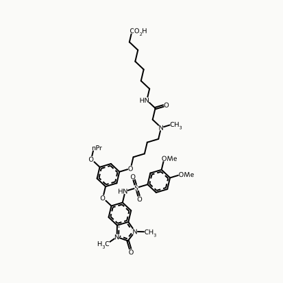 CCCOc1cc(OCCCCN(C)CC(=O)NCCCCCCC(=O)O)cc(Oc2cc3c(cc2NS(=O)(=O)c2ccc(OC)c(OC)c2)n(C)c(=O)n3C)c1